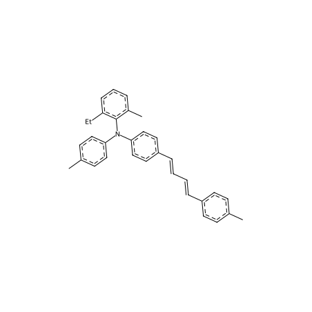 CCc1cccc(C)c1N(c1ccc(C)cc1)c1ccc(/C=C/C=C/c2ccc(C)cc2)cc1